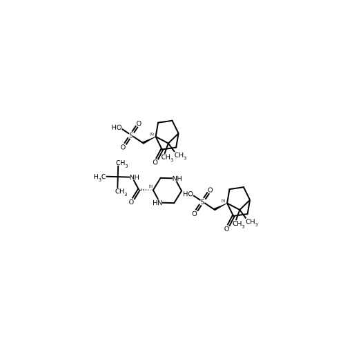 CC(C)(C)NC(=O)[C@@H]1CNCCN1.CC1(C)C2CC[C@@]1(CS(=O)(=O)O)C(=O)C2.CC1(C)C2CC[C@@]1(CS(=O)(=O)O)C(=O)C2